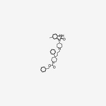 Cc1ccc2[nH]c(=O)n(C3CCN(CCCC4(c5ccccc5)CCN(C(=O)OCc5ccccc5)CC4)CC3)c2c1